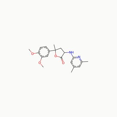 COc1ccc(C2(C)CC(Nc3cc(C)cc(C)n3)C(=O)O2)cc1OC